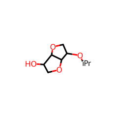 CC(C)OC1COC2C(O)COC12